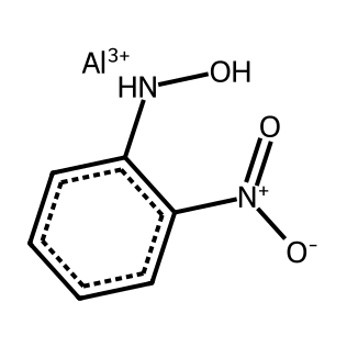 O=[N+]([O-])c1ccccc1NO.[Al+3]